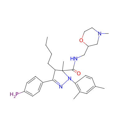 CCCCC1C(c2ccc(P)cc2)=NN(c2ccc(C)cc2C)C1(C)C(=O)NCC1CN(C)CCO1